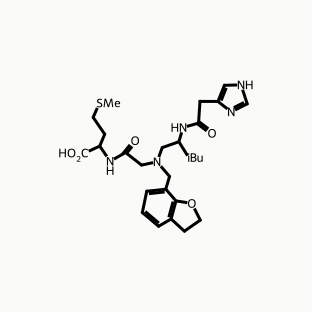 CCC(C)C(CN(CC(=O)NC(CCSC)C(=O)O)Cc1cccc2c1OCC2)NC(=O)Cc1c[nH]cn1